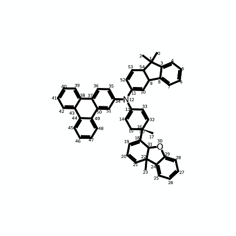 CC1(C)c2ccccc2C2C=C(N(C3=CC[C@@](C)(C4=CC=CC5(C)c6ccccc6OC45)C=C3)c3ccc4c5ccccc5c5ccccc5c4c3)C=CC21